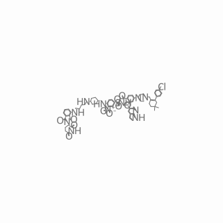 CC1(C)CCC(CN2CCN(c3ccc(C(=O)NS(=O)(=O)c4ccc(NC[C@H]5CC[C@H](NCCCCNc6cccc7c6C(=O)N(C6CCC(=O)NC6=O)C7=O)CC5)c([N+](=O)[O-])c4)c(Oc4cnc5[nH]ccc5c4)c3)CC2)=C(c2ccc(Cl)cc2)C1